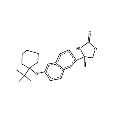 CC(C)(C)C1(Oc2ccc3cc([C@@]4(C)COC(=O)N4)ccc3c2)CCCCC1